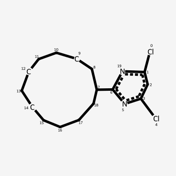 Clc1cc(Cl)nc(C2CCCCCCCCCCC2)n1